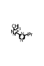 Cc1nnc(-c2cncc(C(C)C)n2)s1